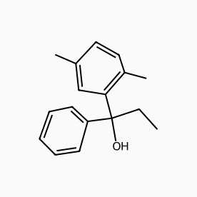 CCC(O)(c1ccccc1)c1cc(C)ccc1C